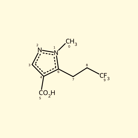 Cn1ncc(C(=O)O)c1CCC(F)(F)F